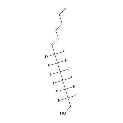 CCCC/C=C/C(F)(F)C(F)(F)C(F)(F)C(F)(F)C(F)(F)C(F)(F)CO